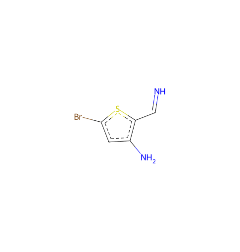 N=Cc1sc(Br)cc1N